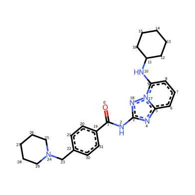 O=C(Nc1nc2cccc(NC3CCCCC3)n2n1)c1ccc(CN2CCCCC2)cc1